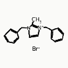 Cc1n(Cc2ccccc2)cc[n+]1Cc1ccccc1.[Br-]